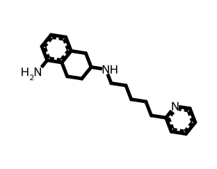 Nc1cccc2c1CCC(NCCCCCc1ccccn1)C2